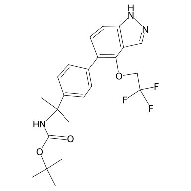 CC(C)(C)OC(=O)NC(C)(C)c1ccc(-c2ccc3[nH]ncc3c2OCC(F)(F)F)cc1